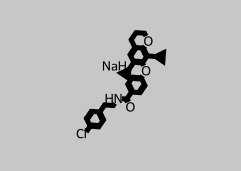 O=C(NCCc1ccc(Cl)cc1)c1ccc(Oc2c(C3CC3)cc3c(c2C2CC2)OCCC3)cc1.[NaH]